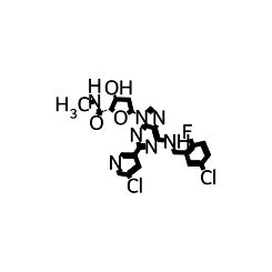 CNC(=O)[C@H]1O[C@@H](n2cnc3c(NCc4cc(Cl)ccc4F)nc(-c4cncc(Cl)c4)nc32)C[C@@H]1O